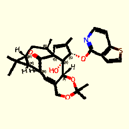 CC1=C[C@]23C(=O)[C@@H](C=C4COC(C)(C)O[C@H]4[C@]2(O)[C@H]1Oc1nccc2sccc12)[C@H]1[C@@H](C[C@H]3C)C1(C)C